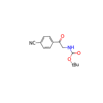 CC(C)(C)OC(=O)NCC(=O)c1ccc(C#N)cc1